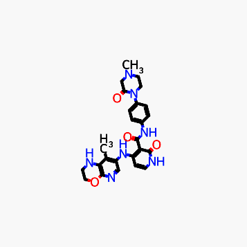 Cc1c(Nc2cc[nH]c(=O)c2C(=O)Nc2ccc(N3CCN(C)CC3=O)cc2)cnc2c1NCCO2